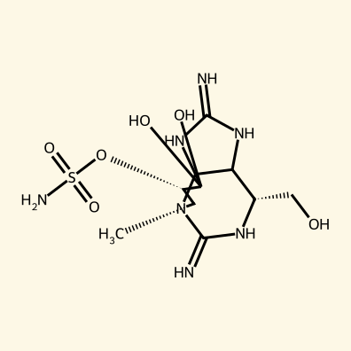 C[C@H]1[C@H](OS(N)(=O)=O)C(O)(O)C23NC(=N)NC2[C@H](CO)NC(=N)N13